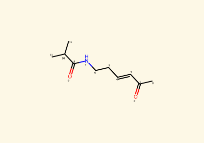 CC(=O)C=CCCNC(=O)C(C)C